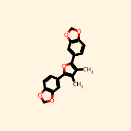 Cc1c(-c2ccc3c(c2)OCO3)oc(-c2ccc3c(c2)OCO3)c1C